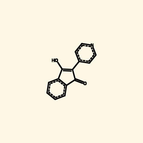 O=C1C(c2ccncc2)=C(O)c2ccccc21